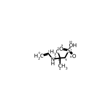 C=CNC(C)(C)CS(=O)(=O)O